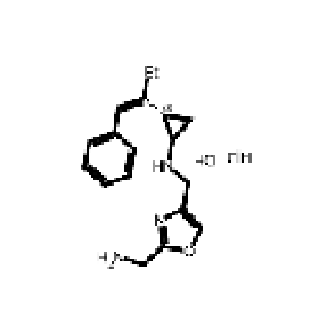 CCC(=Cc1ccccc1)[C@@H]1CC1NCc1coc(CN)n1.Cl.Cl